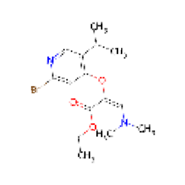 CCOC(=O)/C(=C\N(C)C)Oc1cc(Br)ncc1C(C)C